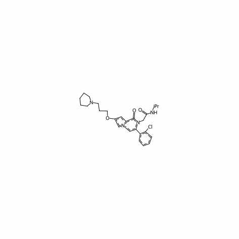 CC(C)NC(=O)Cn1c(-c2ccccc2Cl)cn2cc(OCCCN3CCCCC3)cc2c1=O